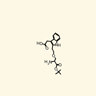 CC(C)(C)OC(=O)C(N)COCCc1[nH]c2ccccc2c1CC(=O)O